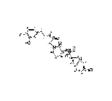 CN(CCc1ccc(Cl)c(Cl)c1)C(=O)CN1CCC[C@H](NS(=O)(=O)c2cc3ccc(Cl)cc3s2)C1=O